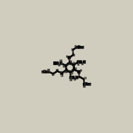 CCCCCCCCCCCCOc1c(C(=O)O)c(OCCCCCCCCCCCC)c(C(=O)O)c(OCCCCCCCCCCCC)c1C(=O)O